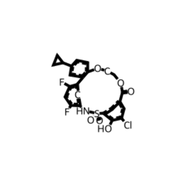 O=C1OCCOc2ccc(C3CC3)cc2-c2cc(c(F)cc2F)NS(=O)(=O)c2cc1cc(Cl)c2O